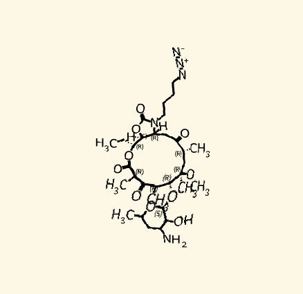 CC[C@H]1OC(=O)[C@H](C)C(=O)[C@H](C)[C@@H](O[C@@H]2OC(C)CC(N)C2O)[C@](C)(OC)C[C@@H](C)C(=O)C[C@@H]2[C@@H]1OC(=O)N2CCCCN=[N+]=[N-]